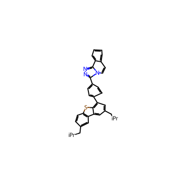 CC(C)Cc1ccc2sc3c(-c4ccc(-c5nnc6c7ccccc7ccn56)cc4)cc(CC(C)C)cc3c2c1